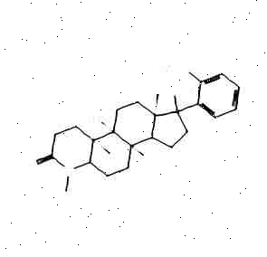 COc1ccccc1C1(C(=O)O)CC[C@H]2[C@@H]3CCC4N(C)C(=O)CC[C@]4(C)[C@@H]3CC[C@@]21C